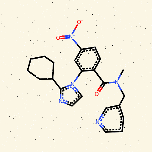 CN(Cc1cccnc1)C(=O)c1ccc([N+](=O)[O-])cc1-n1ccnc1C1CCCCC1